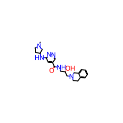 CN1CCC(Nc2cc(C(=O)NCC(O)CN3CCc4ccccc4C3)cnn2)C1